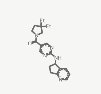 CCC1(CC)CCN(C(=O)c2cnc(N[C@@H]3CCc4ncccc43)nc2)C1